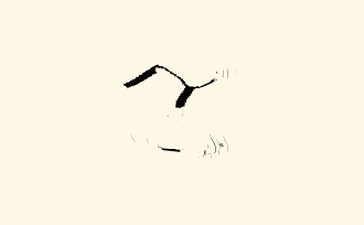 C=CC(N)=O.O=S(=O)(O)O.[AlH3]